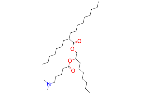 CCCCCCCCCC(CCCCCCC)C(=O)OCC(CCCCCCC)OC(=O)CCCCN(C)C